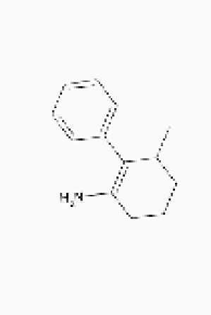 CC1CCCC(N)=C1c1ccccc1